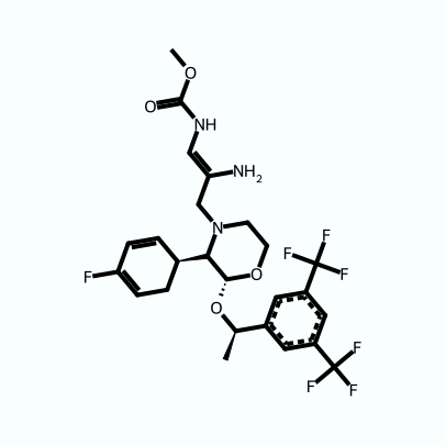 COC(=O)N/C=C(\N)CN1CCO[C@H](O[C@H](C)c2cc(C(F)(F)F)cc(C(F)(F)F)c2)C1[C@@H]1C=CC(F)=CC1